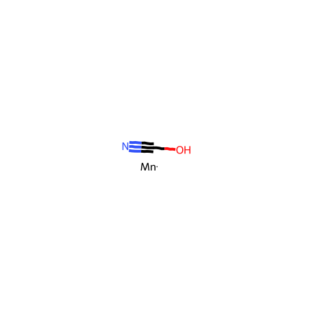 N#CO.[Mn]